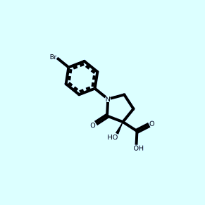 O=C(O)[C@@]1(O)CCN(c2ccc(Br)cc2)C1=O